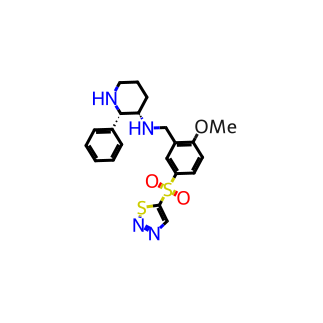 COc1ccc(S(=O)(=O)c2cnns2)cc1CN[C@H]1CCCN[C@H]1c1ccccc1